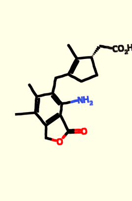 CC1=C(Cc2c(C)c(C)c3c(c2N)C(=O)OC3)CC[C@H]1CC(=O)O